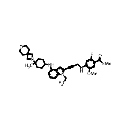 CNC(=O)c1cc(OC)c(NCC#Cc2cc3c(NC4CCC(C)(N5CC6(CCOCC6)C5)CC4)cccc3n2CC(F)(F)F)cc1F